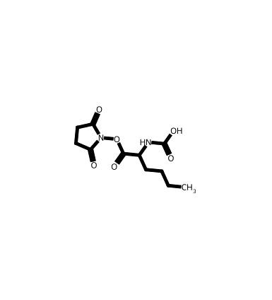 CCCCC(NC(=O)O)C(=O)ON1C(=O)CCC1=O